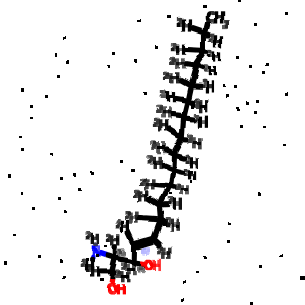 [2H]/C(=C(/[2H])[C@@]([2H])(O)[C@@]([2H])(N([2H])[2H])C([2H])([2H])O)C([2H])([2H])C([2H])([2H])C([2H])([2H])C([2H])([2H])C([2H])([2H])C([2H])([2H])C([2H])([2H])C([2H])([2H])C([2H])([2H])C([2H])([2H])C([2H])([2H])C([2H])([2H])C